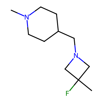 CN1CCC(CN2CC(C)(F)C2)CC1